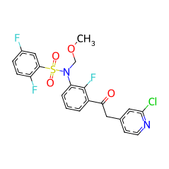 COCN(c1cccc(C(=O)Cc2ccnc(Cl)c2)c1F)S(=O)(=O)c1cc(F)ccc1F